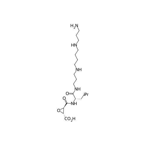 CC(C)C[C@H](NC(=O)[C@@H]1O[C@H]1C(=O)O)C(=O)NCCCNCCCCNCCCN